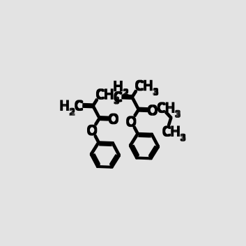 C=C(C)C(=O)Oc1ccccc1.C=C(C)C(=O)Oc1ccccc1.CCC